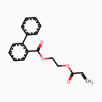 C=CC(=O)OCCOC(=O)c1ccccc1-c1ccccc1